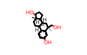 C[C@@]1(CO)C[C@@H]2[C@H](CC[C@]3(C)[C@@H](O)CC[C@@H]23)c2ccc(O)cc21